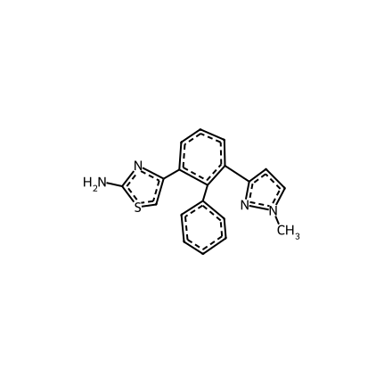 Cn1ccc(-c2cccc(-c3csc(N)n3)c2-c2ccccc2)n1